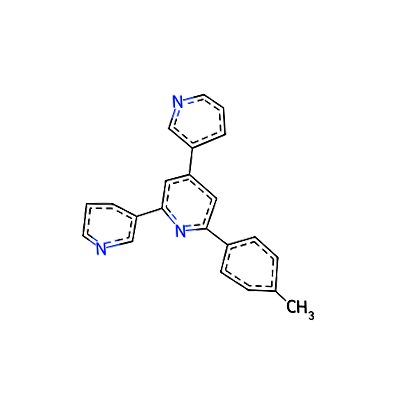 Cc1ccc(-c2cc(-c3cccnc3)cc(-c3cccnc3)n2)cc1